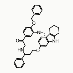 Nc1cc(C(=O)CNC(CCOc2ccc3c4c([nH]c3c2)CCCC4)c2ccccc2)ccc1OCc1ccccc1